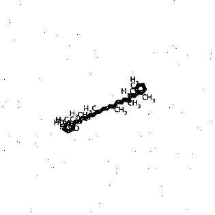 CC1=C(/C=C/C(C)=C/C=C/C(C)=C/C=C/C=C(C)/C=C/C=C(C)/C=C/C23OC2(C)CCC(O)C3(C)C)C(C)(C)CCC1